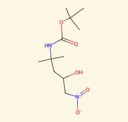 CC(C)(CC(O)C[N+](=O)[O-])NC(=O)OC(C)(C)C